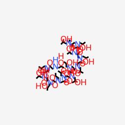 CC(O)CNCC(=O)N(CC(=O)N(CC(=O)N(CC(=O)N(CC(=O)N(CC(=O)N(CC(=O)N(CC(=O)N(CC(=O)N(CC(=O)N(CC(=O)N(CC(=O)N(C)CC(C)O)CC(C)O)CC(C)O)CC(C)O)CC(C)O)CC(C)O)CC(C)O)CC(C)O)CC(C)O)CC(C)O)CC(C)O)CC(C)O